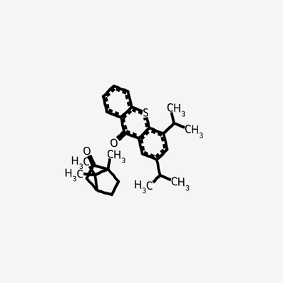 CC(C)c1cc(C(C)C)c2sc3ccccc3c(=O)c2c1.CC12CCC(CC1=O)C2(C)C